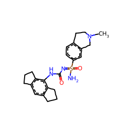 CN1CCc2ccc(S(N)(=O)=NC(=O)Nc3c4c(cc5c3CCC5)CCC4)cc2C1